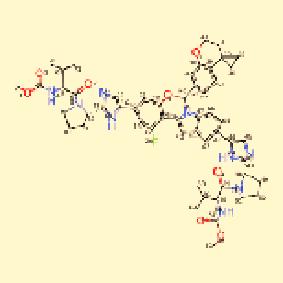 COC(=O)NC(C(=O)N1CCC[C@H]1c1ncc(-c2cc(F)c3c(c2)OC(c2ccc4c(c2)OCCC42CC2)n2c-3cc3cc(-c4cnc([C@@H]5CCCN5C(=O)C(NC(=O)OC)C(C)C)[nH]4)ccc32)[nH]1)C(C)C